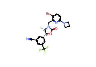 C[C@H]1[C@@H](c2cc(C#N)cc(C(F)(F)F)c2)OC(=O)N1Cc1nc(N2CCC2)ccc1Br